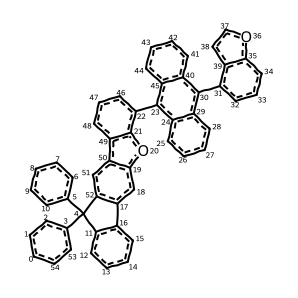 c1ccc(C2(c3ccccc3)c3ccccc3-c3cc4oc5c(-c6c7ccccc7c(-c7cccc8occc78)c7ccccc67)cccc5c4cc32)cc1